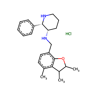 Cc1ccc(CN[C@H]2CCCN[C@H]2c2ccccc2)c2c1C(C)C(C)O2.Cl